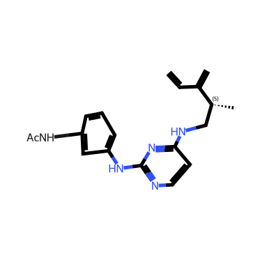 C=CC(=C)[C@H](C)CNc1ccnc(Nc2cccc(NC(C)=O)c2)n1